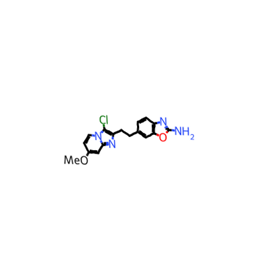 COc1ccn2c(Cl)c(CCc3ccc4nc(N)oc4c3)nc2c1